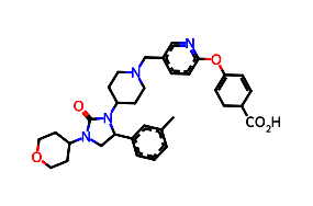 Cc1cccc(C2CN(C3CCOCC3)C(=O)N2C2CCN(Cc3ccc(OC4=CCC(C(=O)O)C=C4)nc3)CC2)c1